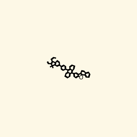 C=CC1=C(/C=C\C)c2ccc(-c3ccc(-c4c5ccccc5c(-c5ccc6oc7c8ccccc8ccc7c6c5)c5ccccc45)cc3)cc2C1(C)C